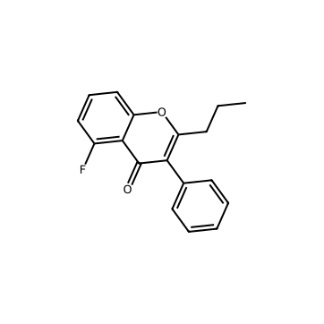 CCCc1oc2cccc(F)c2c(=O)c1-c1ccccc1